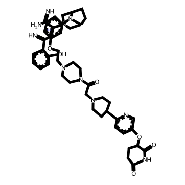 N=C(N)/C(=C\C(=N)c1ccccc1O)N1CC2CCC(C1)N2c1cccc(OCCN2CCN(C(=O)CN3CCC(c4ccc(OC5CCC(=O)NC5=O)cn4)CC3)CC2)c1